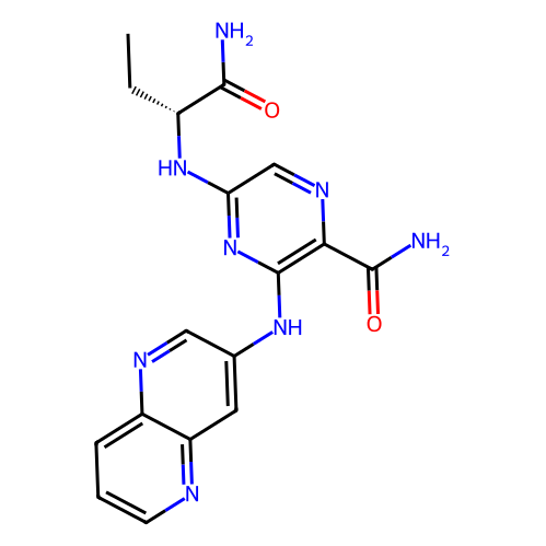 CC[C@@H](Nc1cnc(C(N)=O)c(Nc2cnc3cccnc3c2)n1)C(N)=O